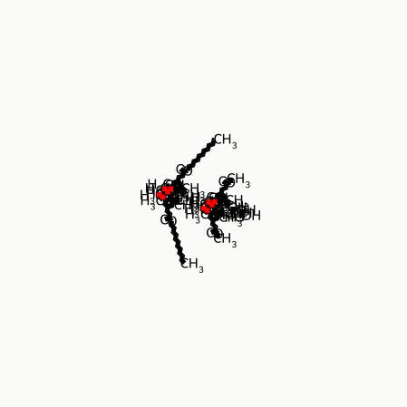 CCCCCCCCCCCCOC(=O)CCc1cc(C(C)(C)C)c(OC(c2c(C(C)(C)C)cc(CCC(=O)OCCCCCCCCCCCC)cc2C(C)(C)C)C(CO)(CO)CO)c(C(C)(C)C)c1.COC(=O)CCc1cc(C(C)(C)C)c(OC(c2c(C(C)(C)C)cc(CCC(=O)OC)cc2C(C)(C)C)C(CO)(CO)CO)c(C(C)(C)C)c1.OP(O)O.OP(O)O